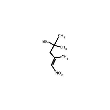 CCCCC(C)(C)C/C(C)=C/[N+](=O)[O-]